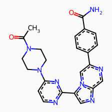 CC(=O)N1CCN(c2ccnc(-c3cnc4cnc(-c5ccc(C(N)=O)cc5)cn34)n2)CC1